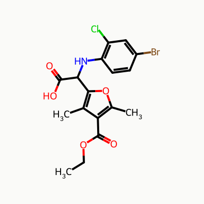 CCOC(=O)c1c(C)oc(C(Nc2ccc(Br)cc2Cl)C(=O)O)c1C